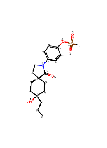 CCC[C@]1(O)CC[C@]2(CCN(c3ccc(OS(C)(=O)=O)cc3)C2=O)CC1